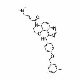 Cc1cccc(COc2ccc(Nc3ncnc4ccc5c(c34)OCCN5C(=O)/C=C/CN(C)C)cc2)c1